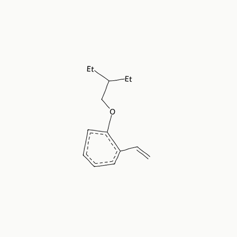 C=Cc1ccccc1OCC(CC)CC